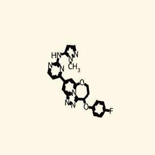 Cn1nccc1Nc1nccc(-c2cc3n4c(nnc4c2)C(Oc2ccc(F)cc2)CCO3)n1